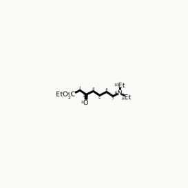 CCOC(=O)CC(=O)CCCCN(CC)CC